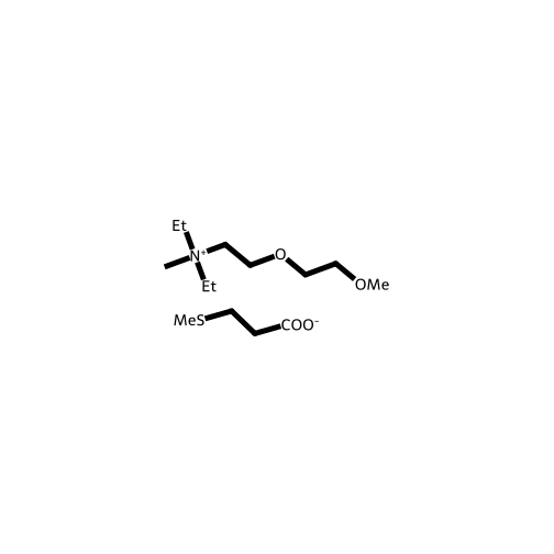 CC[N+](C)(CC)CCOCCOC.CSCCC(=O)[O-]